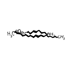 CCCCCCCCCCCCCCCCCCCC.CCCCCCCCCCCCCCCCCCN